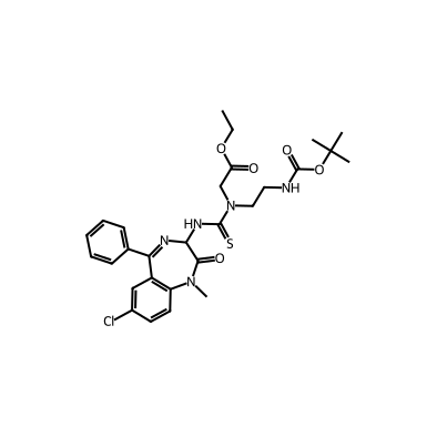 CCOC(=O)CN(CCNC(=O)OC(C)(C)C)C(=S)NC1N=C(c2ccccc2)c2cc(Cl)ccc2N(C)C1=O